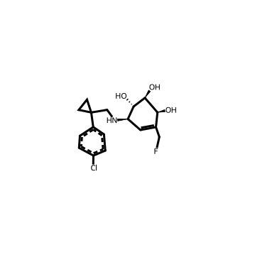 O[C@@H]1[C@@H](O)[C@@H](O)C(CF)=C[C@H]1NCC1(c2ccc(Cl)cc2)CC1